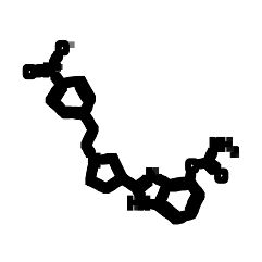 NC(=O)Oc1cccc2[nH]c(C3CCN(CCc4ccc([N+](=O)[O-])cc4)C3)nc12